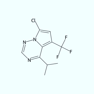 CC(C)c1ncnn2c(Cl)cc(C(F)(F)F)c12